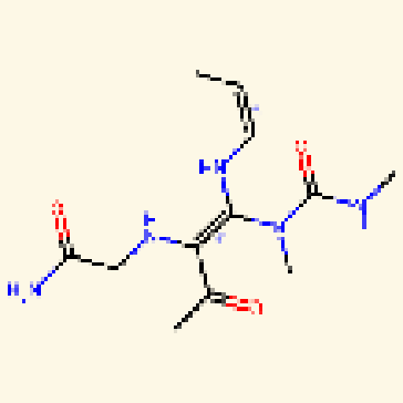 C/C=C\N/C(=C(\NCC(N)=O)C(C)=O)N(C)C(=O)NC